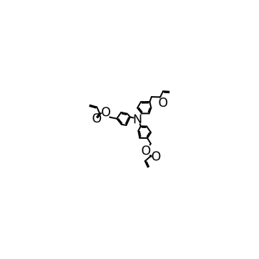 C=CC(=O)Cc1ccc(N(c2ccc(COC(=O)C=C)cc2)c2ccc(COC(=O)C=C)cc2)cc1